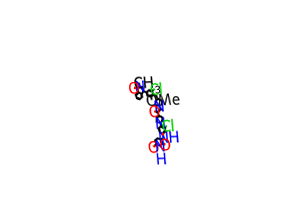 COc1cc(-c2cn(C)c(=O)c3ccccc23)cc(Cl)c1CC1CCN(CC(=O)C2CCN(c3ccc(NC4CCC(=O)NC4=O)cc3Cl)CC2)CC1